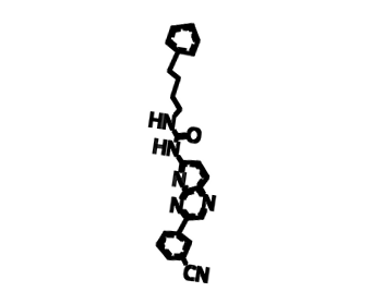 N#Cc1cccc(-c2cnc3ccc(NC(=O)NCCCCc4ccccc4)nc3n2)c1